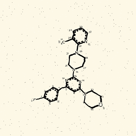 Fc1ccc(-c2cc(N3CCOCC3)nc(N3CCN(c4ncccc4C(F)(F)F)CC3)n2)cc1